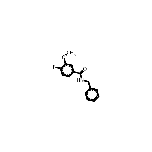 COc1cc(C(=O)NCc2ccccc2)ccc1F